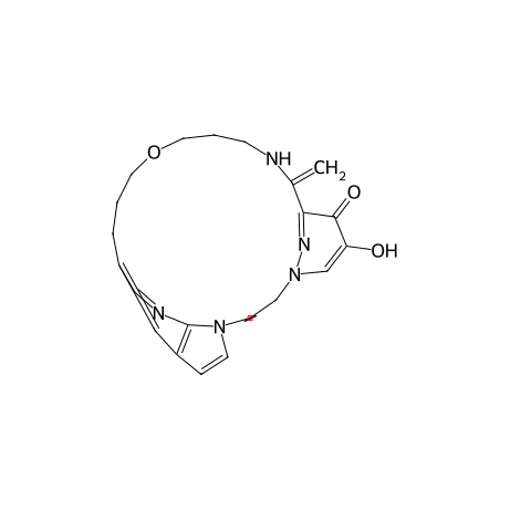 C=C1NCCCOCCCc2cnc3c(ccn3C3(CCCC3)Cn3cc(O)c(=O)c1n3)c2